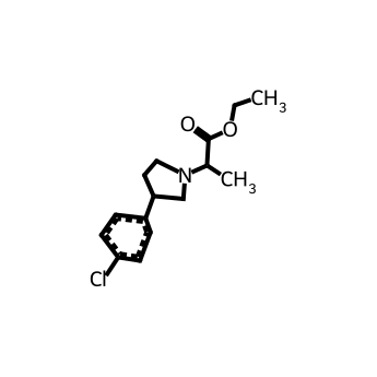 CCOC(=O)C(C)N1CCC(c2ccc(Cl)cc2)C1